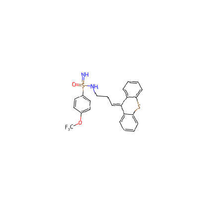 N=S(=O)(NCCC=C1c2ccccc2Sc2ccccc21)c1ccc(OC(F)(F)F)cc1